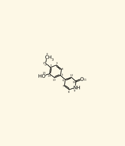 CSc1ccc(-c2cc[nH]c(=O)c2)cc1O